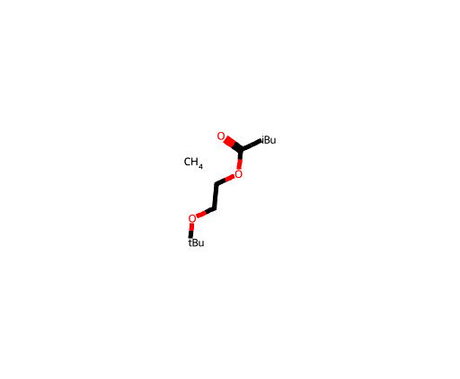 C.CCC(C)C(=O)OCCOC(C)(C)C